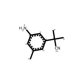 Cc1cc(N)cc(C(C)(C)C#N)c1